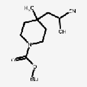 CC1(CC(O)C#N)CCN(C(=O)OC(C)(C)C)CC1